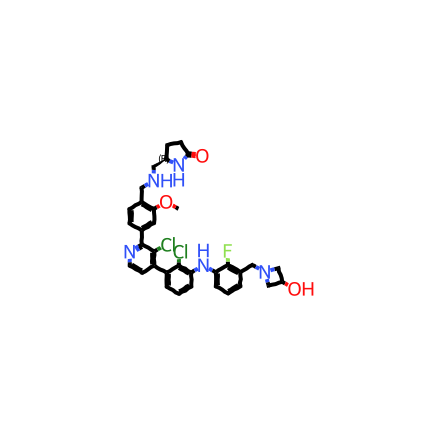 COc1cc(-c2nccc(-c3cccc(Nc4cccc(CN5CC(O)C5)c4F)c3Cl)c2Cl)ccc1CNC[C@H]1CCC(=O)N1